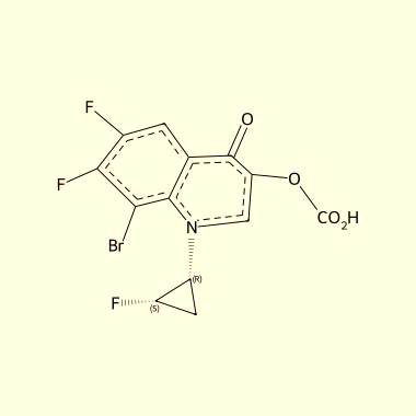 O=C(O)Oc1cn([C@@H]2C[C@@H]2F)c2c(Br)c(F)c(F)cc2c1=O